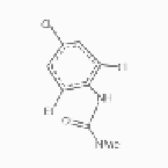 CCc1cc(Cl)cc(Cl)c1NC(=O)NC